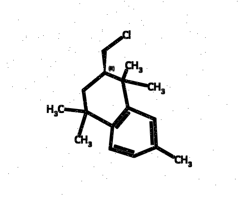 Cc1ccc2c(c1)C(C)(C)[C@H](CCl)CC2(C)C